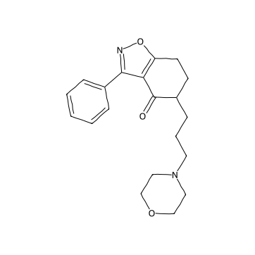 O=C1c2c(-c3ccccc3)noc2CCC1CCCN1CCOCC1